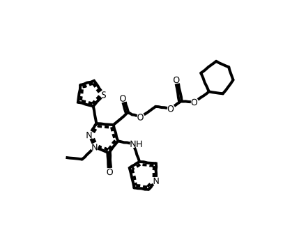 CCn1nc(-c2cccs2)c(C(=O)OCOC(=O)OC2CCCCC2)c(Nc2cccnc2)c1=O